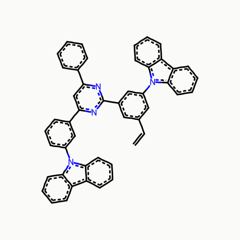 C=Cc1cc(-c2nc(-c3ccccc3)cc(-c3cccc(-n4c5ccccc5c5ccccc54)c3)n2)cc(-n2c3ccccc3c3ccccc32)c1